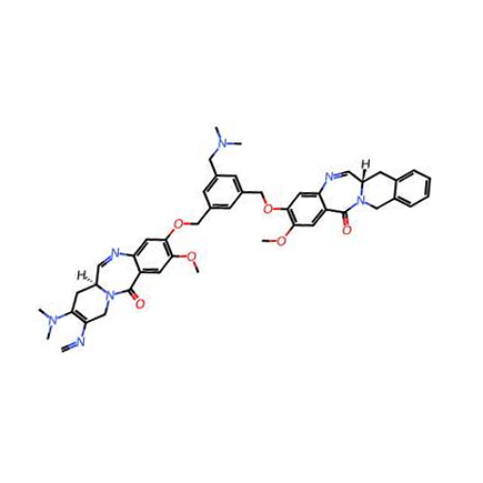 C=NC1=C(N(C)C)C[C@H]2C=Nc3cc(OCc4cc(COc5cc6c(cc5OC)C(=O)N5Cc7ccccc7C[C@H]5C=N6)cc(CN(C)C)c4)c(OC)cc3C(=O)N2C1